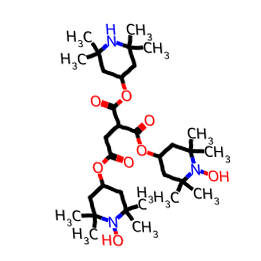 CC1(C)CC(OC(=O)C(CC(=O)OC2CC(C)(C)N(O)C(C)(C)C2)C(=O)OC2CC(C)(C)N(O)C(C)(C)C2)CC(C)(C)N1